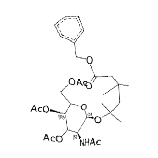 CC(=O)N[C@H]1C(OC(C)=O)[C@@H](OC(C)=O)C(COC(C)=O)O[C@H]1OC(C)(C)CC(C)(C)CC(=O)OCc1ccccc1